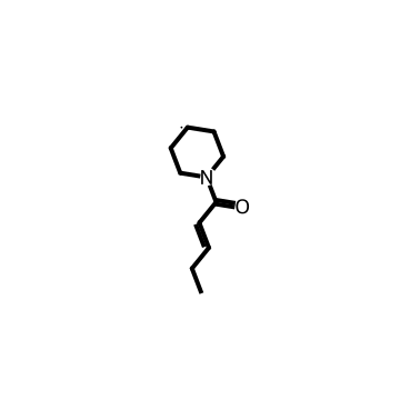 CCC=CC(=O)N1CC[CH]CC1